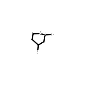 IC1CCCN(I)C1